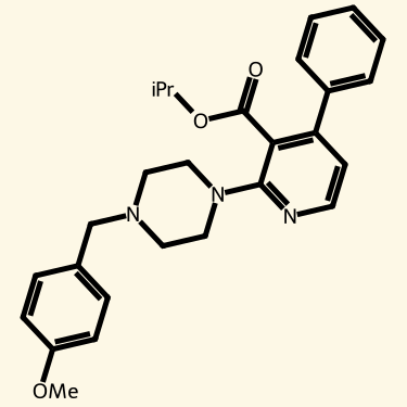 COc1ccc(CN2CCN(c3nccc(-c4ccccc4)c3C(=O)OC(C)C)CC2)cc1